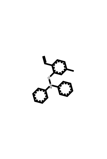 C=Cc1ccc(C)cc1O[SiH](c1ccccc1)c1ccccc1